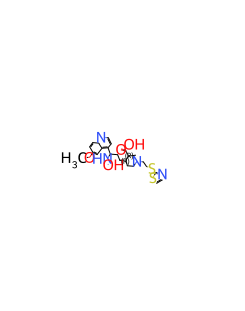 COc1ccc2nccc(C(CC[C@@H]3CCN(CCSc4nccs4)C[C@@H]3C(=O)O)NO)c2c1